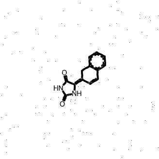 O=C1NC(=O)/C(=C2/C=Cc3ccccc3C2)N1